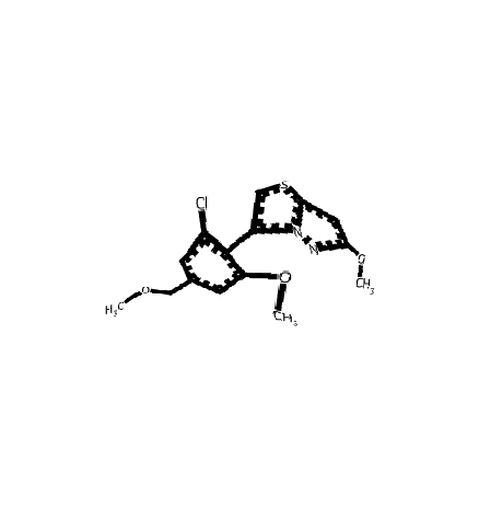 COCc1cc(Cl)c(-c2csc3[c]c(OC)nn23)c(OC)c1